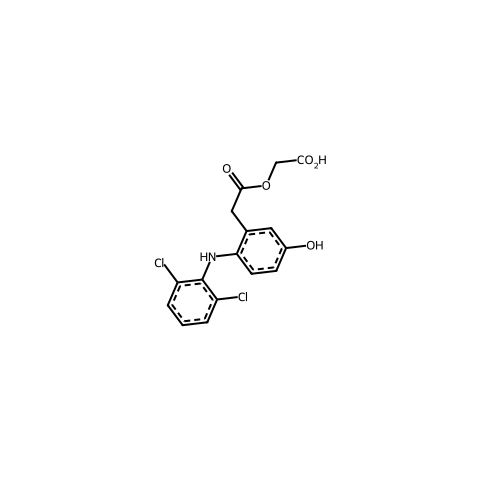 O=C(O)COC(=O)Cc1cc(O)ccc1Nc1c(Cl)cccc1Cl